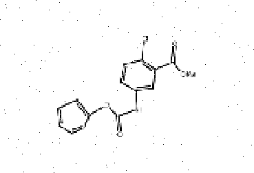 COC(=O)c1cc(NC(=O)Oc2ccccc2)ccc1Cl